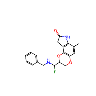 Cc1cc2c(c3c1NC(=O)C3)OC(C(F)NCc1ccccc1)CO2